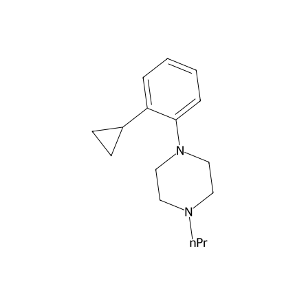 C[CH]CN1CCN(c2ccccc2C2CC2)CC1